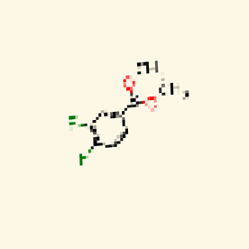 COB(OC)c1ccc(F)c(F)c1